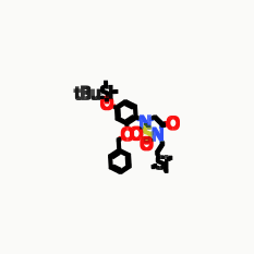 CC(C)(C)[Si](C)(C)Oc1ccc(N2CC(=O)N(CC[Si](C)(C)C)S2(=O)=O)c(OCc2ccccc2)c1